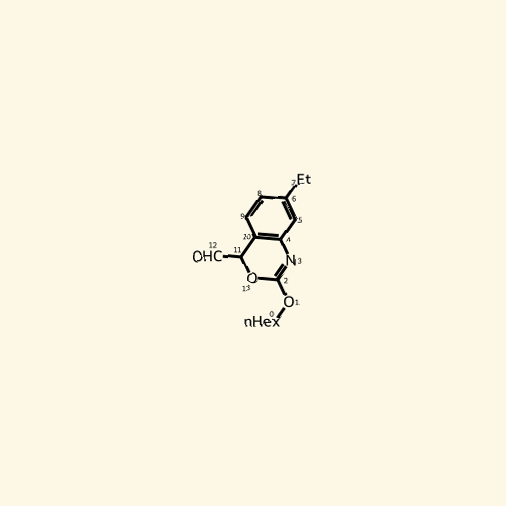 CCCCCCOC1=Nc2cc(CC)ccc2C(C=O)O1